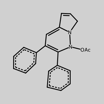 CC(=O)ON1C(c2ccccc2)=C(c2ccccc2)C=C2C=CCN21